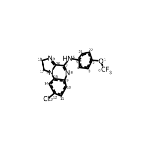 FC(F)(F)Oc1ccc(NC2=Nc3ccc(Cl)cc3N3CCN=C23)cc1